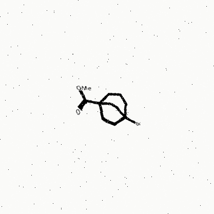 COC(=O)C12CCCC(Br)(CC1)CC2